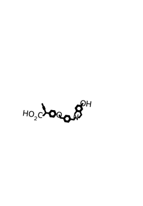 CC#CC(CC(=O)O)c1ccc(OCc2ccc(CN3CCc4cc(O)ccc4C3)cc2)cc1